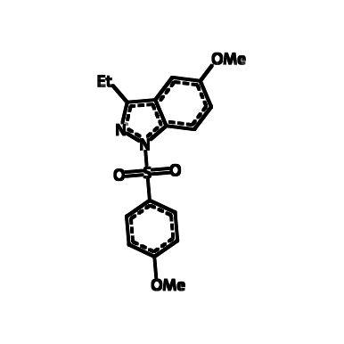 CCc1nn(S(=O)(=O)c2ccc(OC)cc2)c2ccc(OC)cc12